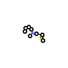 c1ccc(N(c2ccc(-c3cccc4c3sc3ccccc34)cc2)c2ccc3ccc4ccc5ccccc5c4c3c2)cc1